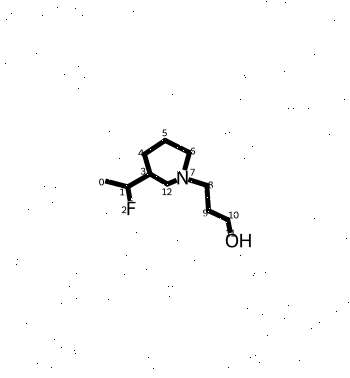 CC(F)C1CCCN(CCCO)C1